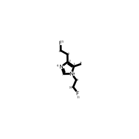 Cc1c(CCF)ncn1CCF